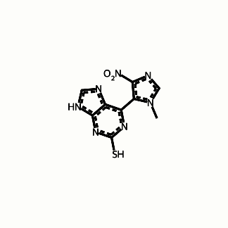 Cn1cnc([N+](=O)[O-])c1-c1nc(S)nc2[nH]cnc12